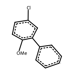 COc1ccc(Cl)cc1-c1cc[c]cc1